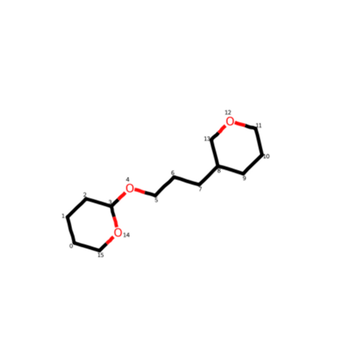 C1CCC(OCCCC2CCCOC2)OC1